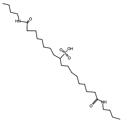 CCCCNC(=O)CCCCCCCCC(CCCCCCCC(=O)NCCCC)S(=O)(=O)O